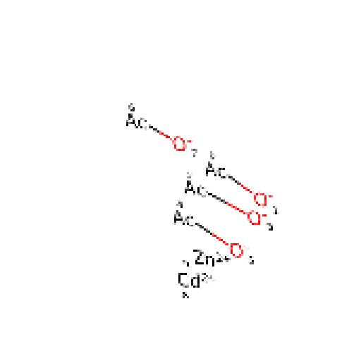 CC(=O)[O-].CC(=O)[O-].CC(=O)[O-].CC(=O)[O-].[Cd+2].[Zn+2]